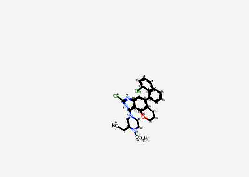 N#CCC1CN(c2nc(Cl)nc3cc(-c4cccc5cccc(Cl)c45)c4c(c23)OCCC4)CCN1C(=O)O